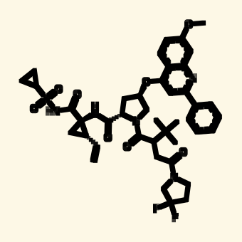 C=C[C@@H]1C[C@]1(NC(=O)[C@@H]1C[C@@H](Oc2cc(-c3ccccc3)nc3cc(OC)ccc23)CN1C(=O)C(CC(=O)N1CCC(F)(F)C1)C(C)(C)C)C(=O)NS(=O)(=O)C1CC1